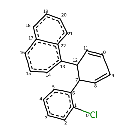 Clc1ccccc1C1C=CC=CC1c1cccc2ccccc12